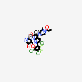 C=CC(=O)N1CCN(c2c(C#N)c(=O)n(C3C(C(C)C)=NC=CC3C)c3nc(-c4c(O)c(Cl)c(Cl)c(F)c4F)c(Cl)cc23)C[C@H]1C